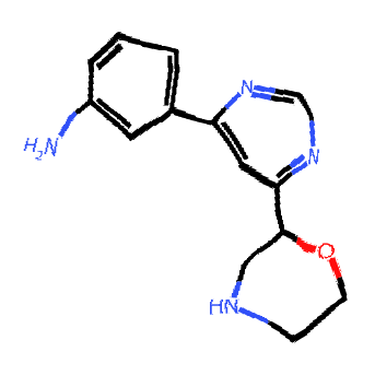 Nc1cccc(-c2cc(C3CNCCO3)ncn2)c1